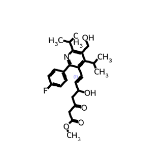 COC(=O)CC(=O)CC(O)/C=C/c1c(-c2ccc(F)cc2)nc(C(C)C)c(CO)c1C(C)C